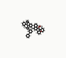 c1ccc(-c2ccc(N(c3ccc4c(c3)C3(c5ccccc5Oc5ccccc53)c3ccccc3-4)c3cc4c(c5ccccc35)C3(c5ccccc5Oc5ccccc53)c3ccccc3-4)cc2)cc1